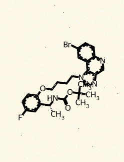 C[C@@H](NC(=O)OC(C)(C)C)c1cc(F)ccc1OCCCCn1cnc2cnc3ccc(Br)cc3c21